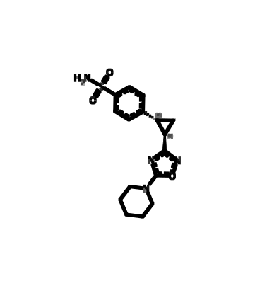 NS(=O)(=O)c1ccc([C@@H]2C[C@H]2c2noc(N3CCCCC3)n2)cc1